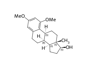 COc1cc2c(c(OC)c1)[C@H]1CC[C@]3(C)[C@@H](O)CC[C@H]3[C@H]1CC2